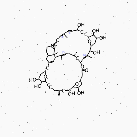 C=C1CCCC2OC(CC3=CC4/C(C)=C/CC(C)CC(/C=C(\C)C(O)C5CC(O)C(O)C(CCC(O)/C=C/C(C)=C/CCC6=NCCC(C3)C64C)O5)OC(=O)CC3CC(O)C(O3)C(O)C1)CC(O)C2O